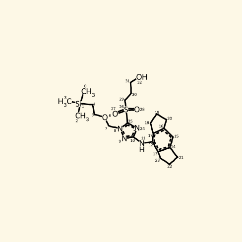 C[Si](C)(C)CCOCn1nc(Nc2c3c(cc4c2CCC4)CCC3)nc1S(=O)(=O)CCCO